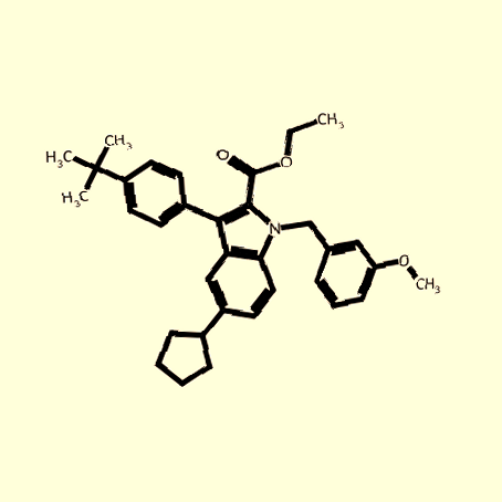 CCOC(=O)c1c(-c2ccc(C(C)(C)C)cc2)c2cc(C3CCCC3)ccc2n1Cc1cccc(OC)c1